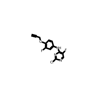 C#CCOc1ccc(Nc2nc(Cl)ncc2F)cc1F